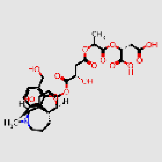 C[C@H](OC(=O)C[C@H](O)C(=O)OC1=CC[C@@]2(O)[C@H]3Cc4ccc(CO)c5c4[C@@]2(CCCN3C)[C@H]1O5)C(=O)O[C@H](CC(=O)O)C(=O)O